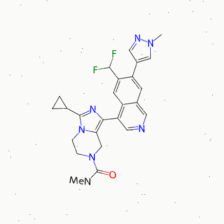 CNC(=O)N1CCn2c(C3CC3)nc(-c3cncc4cc(-c5cnn(C)c5)c(C(F)F)cc34)c2C1